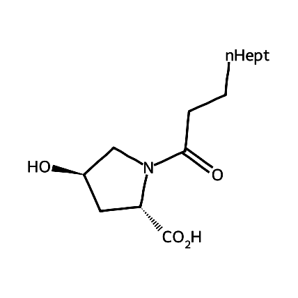 CCCCCCCCCC(=O)N1C[C@H](O)C[C@H]1C(=O)O